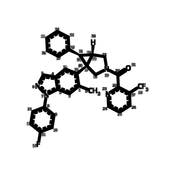 Cc1cc2c(cnn2-c2ccc(F)cc2)cc1[C@]12CN(C(=O)c3ncccc3C(F)(F)F)C[C@H]1[C@@H]2c1ccccc1